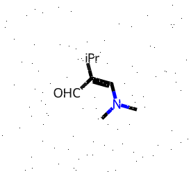 CC(C)/C(C=O)=C/N(C)C